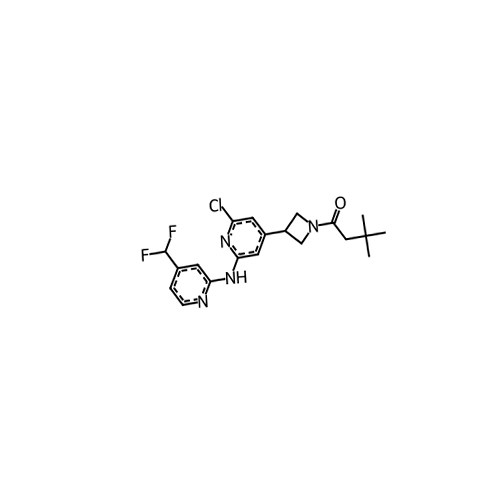 CC(C)(C)CC(=O)N1CC(c2cc(Cl)nc(Nc3cc(C(F)F)ccn3)c2)C1